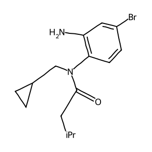 CC(C)CC(=O)N(CC1CC1)c1ccc(Br)cc1N